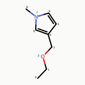 CCOCc1ccn(C)c1